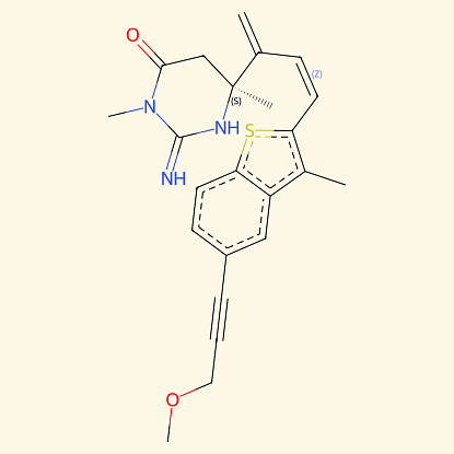 C=C(/C=C\c1sc2ccc(C#CCOC)cc2c1C)[C@]1(C)CC(=O)N(C)C(=N)N1